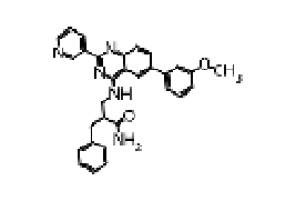 COc1cccc(-c2ccc3nc(-c4cccnc4)nc(NCC(Cc4ccccc4)C(N)=O)c3c2)c1